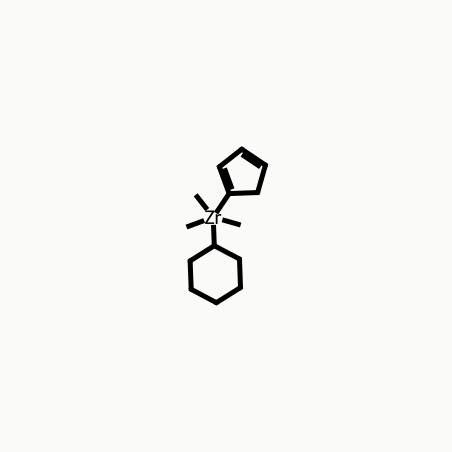 [CH3][Zr]([CH3])([CH3])([C]1=CC=CC1)[CH]1CCCCC1